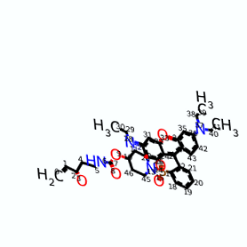 C=CC(=O)CCNC(=O)OC1CCN(S(=O)(=O)c2ccccc2-c2c3cc/c(=N/CC)cc-3oc3cc(N(CC)CC)ccc23)CC1